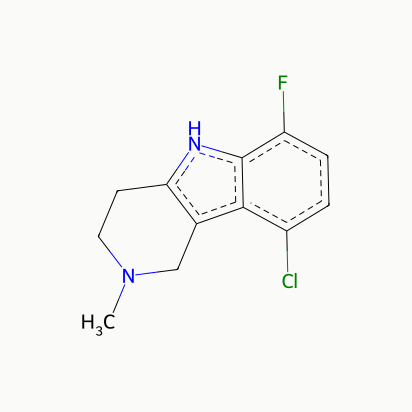 CN1CCc2[nH]c3c(F)ccc(Cl)c3c2C1